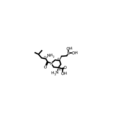 CC(C)C[C@H](N)C(=O)N1C[C@@H](CCB(O)O)C[C@](N)(C(=O)O)C1